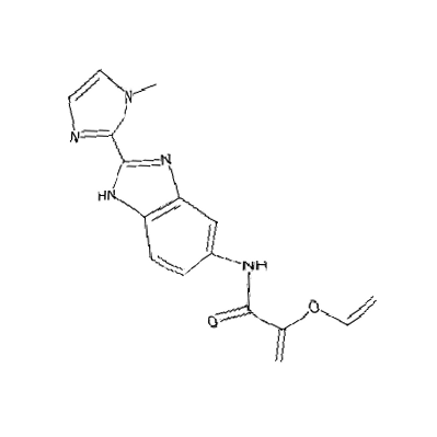 C=COC(=C)C(=O)Nc1ccc2[nH]c(-c3nccn3C)nc2c1